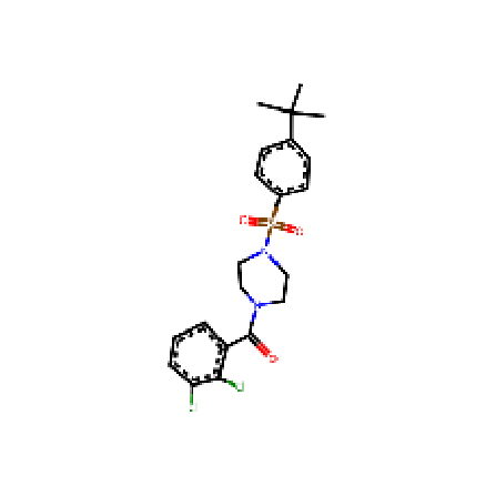 CC(C)(C)c1ccc(S(=O)(=O)N2CCN(C(=O)c3cccc(Cl)c3Cl)CC2)cc1